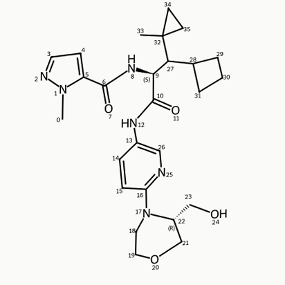 Cn1nccc1C(=O)N[C@H](C(=O)Nc1ccc(N2CCOC[C@H]2CO)nc1)C(C1CCC1)C1(C)CC1